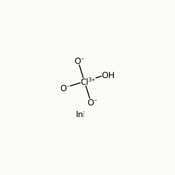 [In].[O-][Cl+3]([O-])([O-])O